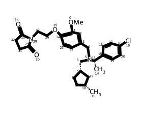 COc1cc(CN(C[C@H]2CC[C@@H](C)C2)[C@@H](C)c2ccc(Cl)cc2)ccc1OCCN1C(=O)CCC1=O